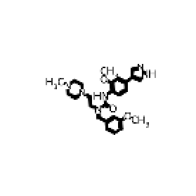 COc1cccc(CN(CCN2CCN(C)CC2)C(=O)Nc2ccc(-c3cn[nH]c3)cc2OC)c1